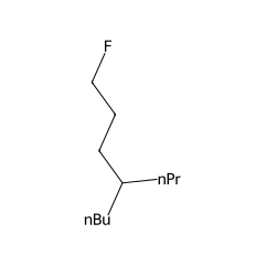 CCCCC(CCC)CCCF